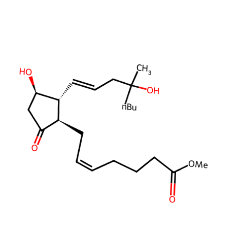 CCCCC(C)(O)C/C=C/[C@H]1[C@H](O)CC(=O)[C@@H]1C/C=C\CCCC(=O)OC